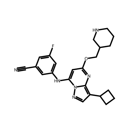 N#Cc1cc(F)cc(Nc2cc(OCC3CCCNC3)nc3c(C4CCC4)cnn23)c1